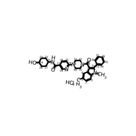 Cc1ccc2c(c1)c(C(=O)N1CCN(c3ccc(C(=O)NC4CCC(O)CC4)cn3)CC1)c(-c1ccccc1)n2C.Cl